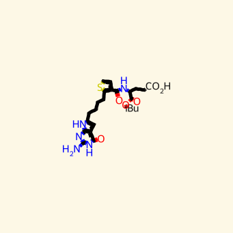 CCC(C)OC(=O)C(CCC(=O)O)NC(=O)c1ccsc1CCCCc1cc2c(=O)[nH]c(N)nc2[nH]1